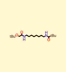 CC(C)(C)OCC(=O)NCCCCCCCCNC(=O)C(C)(C)C